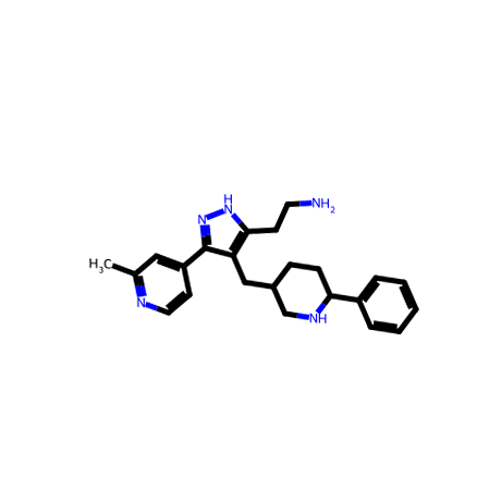 Cc1cc(-c2n[nH]c(CCN)c2CC2CCC(c3ccccc3)NC2)ccn1